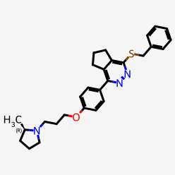 C[C@@H]1CCCN1CCCOc1ccc(-c2nnc(SCc3ccccc3)c3c2CCC3)cc1